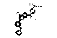 C=C(CCCC)N1CCN(C(=C)c2ccc3c(Cl)cc(-c4cccc(CN5CCCCC5)c4)nc3c2)CC1